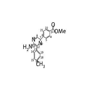 COC(=O)c1ccc(-c2cnc(N)c(-c3ccc(C)cc3)n2)cc1